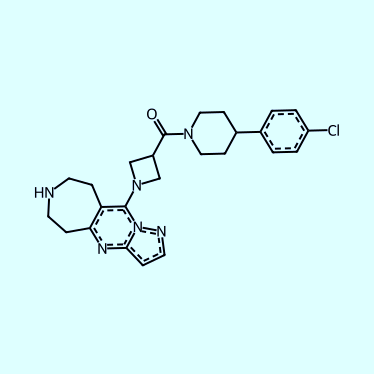 O=C(C1CN(c2c3c(nc4ccnn24)CCNCC3)C1)N1CCC(c2ccc(Cl)cc2)CC1